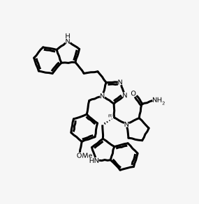 COc1ccc(Cn2c(CCc3c[nH]c4ccccc34)nnc2[C@@H](Cc2c[nH]c3ccccc23)N2CCCC2C(N)=O)cc1